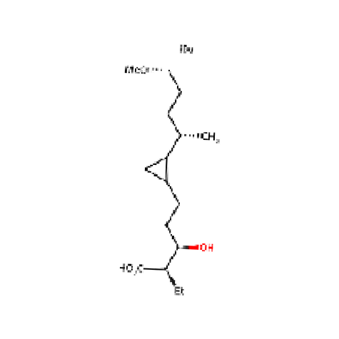 CC[C@H](C)[C@H](CC[C@H](C)C1CC1CC[C@@H](O)[C@@H](CC)C(=O)O)OC